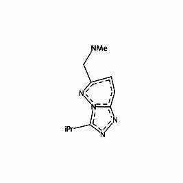 CNCc1ccc2nnc(C(C)C)n2n1